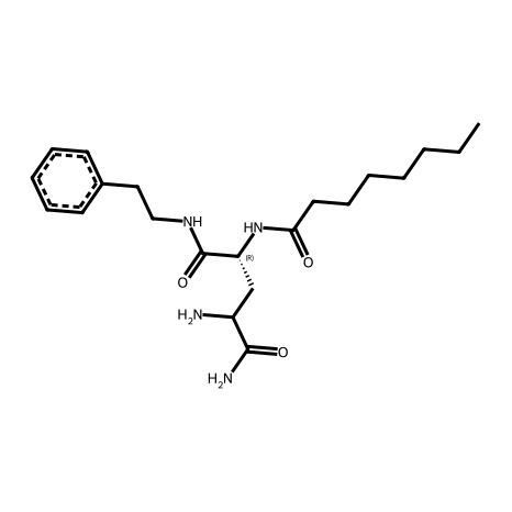 CCCCCCCC(=O)N[C@H](CC(N)C(N)=O)C(=O)NCCc1ccccc1